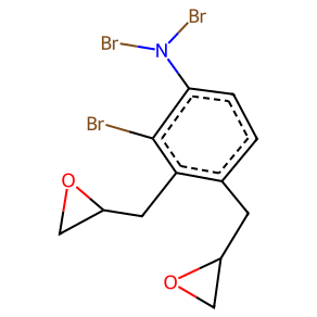 Brc1c(N(Br)Br)ccc(CC2CO2)c1CC1CO1